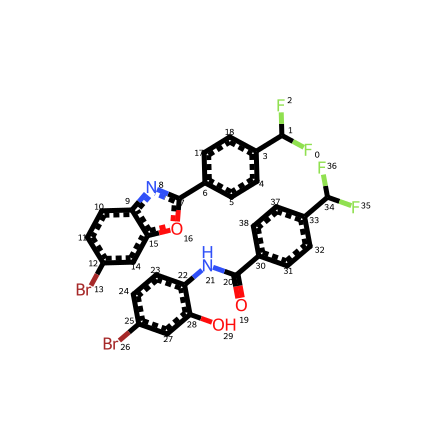 FC(F)c1ccc(-c2nc3ccc(Br)cc3o2)cc1.O=C(Nc1ccc(Br)cc1O)c1ccc(C(F)F)cc1